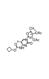 CC(=O)O[C@@H]1[C@H](OC(C)=O)[C@@H](C)O[C@H]1n1cc(I)c(NC(=O)OC2CCC2)nc1=O